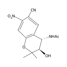 CC(=O)N[C@H]1c2cc(C#N)c([N+](=O)[O-])cc2OC(C)(C)[C@@H]1O